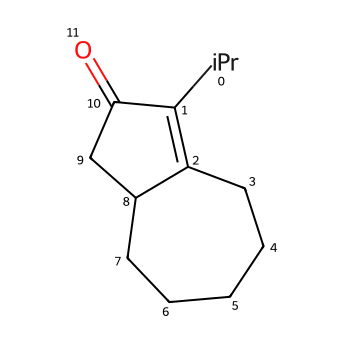 CC(C)C1=C2CCCCCC2CC1=O